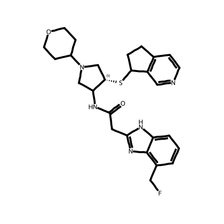 O=C(Cc1nc2c(CF)cccc2[nH]1)NC1CN(C2CCOCC2)C[C@@H]1SC1CCc2ccncc21